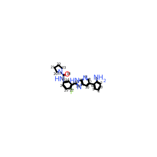 Nc1ccccc1-c1cnc2[nH]c(-c3cc(NC(=O)N4CCCC4)ccc3F)nc2c1